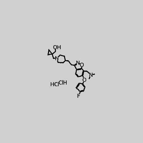 CN(C)Cc1c(Oc2ccc(F)cc2)ccc2c(CCC3CCN(CC4(CO)CC4)CC3)noc12.Cl.Cl